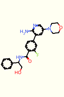 Nc1ncc(N2CCOCC2)cc1-c1ccc(C(=O)NC(CO)c2ccccc2)c(F)c1